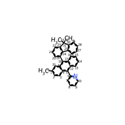 Cc1ccc2c(-c3ccccn3)c3ccccc3c(-c3cccc4c3-c3ccccc3C4(C)C)c2c1